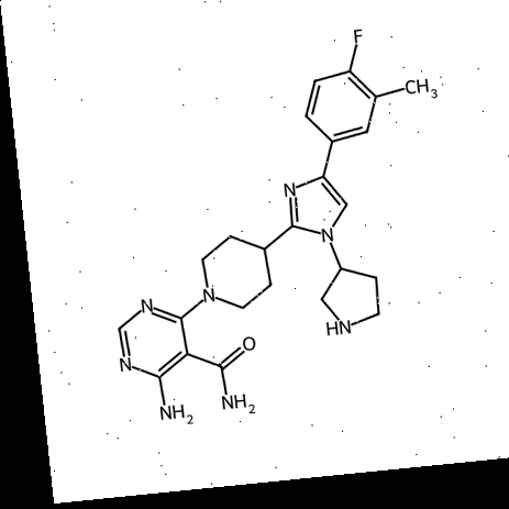 Cc1cc(-c2cn(C3CCNC3)c(C3CCN(c4ncnc(N)c4C(N)=O)CC3)n2)ccc1F